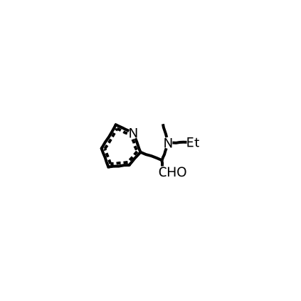 [CH2]CN(C)C(C=O)c1ccccn1